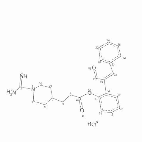 Cl.N=C(N)N1CCC(CCC(=O)Oc2ccccc2C(C=O)=Cc2ccccc2)CC1